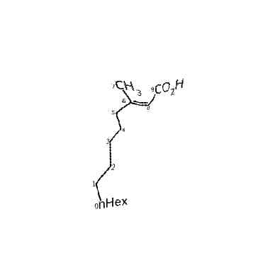 CCCCCCCCCCCC(C)=CC(=O)O